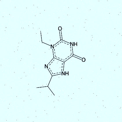 CCn1c(=O)[nH]c(=O)c2[nH]c(C(C)C)nc21